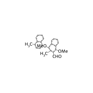 COc1c(C)c(C=O)c(OC)c2ccccc12.Cc1cccc2ccccc12